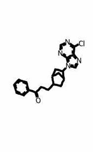 O=C(CCC1CC2CC1CC2n1cnc2c(Cl)ncnc21)c1ccccc1